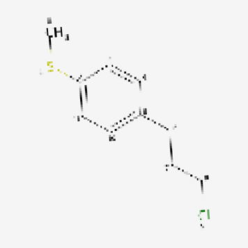 CSc1ccc(CCCCl)cc1